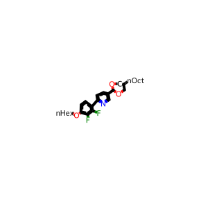 CCCCCCCCC1COC(c2ccc(-c3ccc(OCCCCCC)c(F)c3F)nc2)OC1